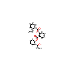 COC(=O)c1ccccc1OC(=O)c1ccccc1OC(=O)c1ccccc1OC